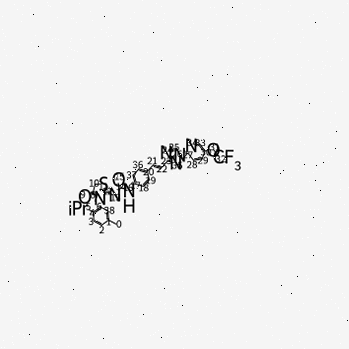 Cc1ccc(C(C)C)c(N2C(=O)CS/C2=N\C(=O)Nc2ccc(/C=C/c3ncn(-c4ccc(OC(F)(F)F)cn4)n3)cc2)c1